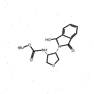 CC(C)(C)OC(=O)N[C@H]1COC[C@H]1N1C(=O)c2ccccc2C1O